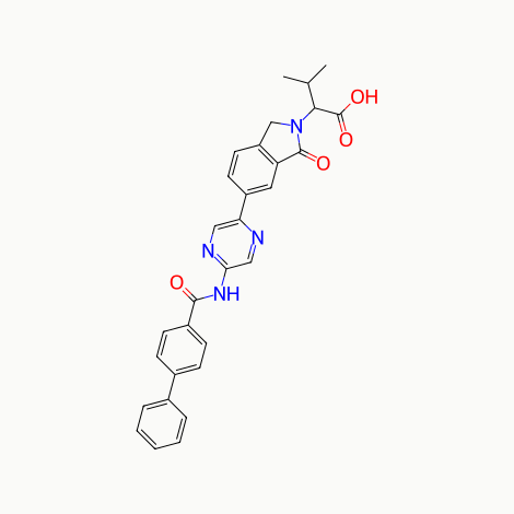 CC(C)C(C(=O)O)N1Cc2ccc(-c3cnc(NC(=O)c4ccc(-c5ccccc5)cc4)cn3)cc2C1=O